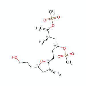 C=C(OS(=O)(=O)C(F)(F)F)[C@H](C)C[C@@H](CC[C@@H]1O[C@@H](CCCO)CC1=C)OS(C)(=O)=O